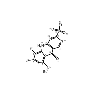 CCOc1cc(F)c(F)cc1C(=O)c1cnc(S(=O)(=O)CC)nc1N